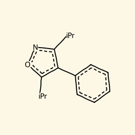 CC(C)c1noc(C(C)C)c1-c1ccccc1